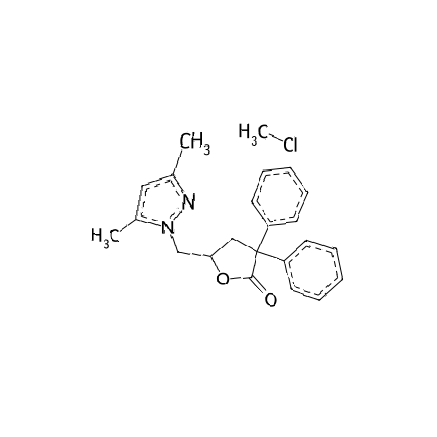 CCl.Cc1cc(C)n(CC2CC(c3ccccc3)(c3ccccc3)C(=O)O2)n1